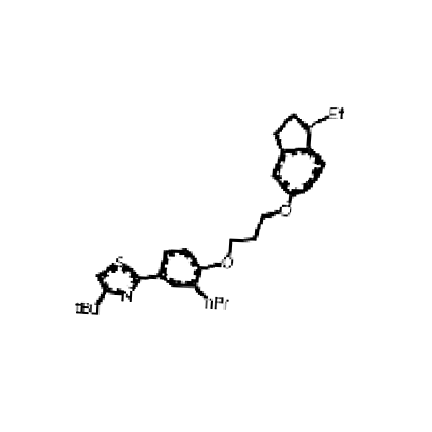 CCCc1cc(-c2nc(C(C)(C)C)cs2)ccc1OCCCOc1ccc2c(c1)CC[C@H]2CC